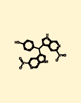 O=[N+]([O-])c1cc2c(C(c3ccc(O)cc3)c3c[nH]c4cnc([N+](=O)[O-])cc34)c[nH]c2cn1